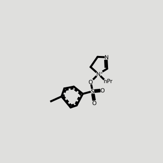 CCC[N+]1(OS(=O)(=O)c2ccc(C)cc2)C=NCC1